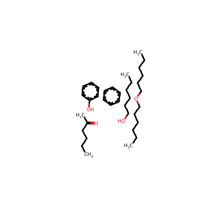 CCCCC(C)=O.CCCCCCO.CCCCCCOCCCCCC.Oc1ccccc1.c1ccccc1